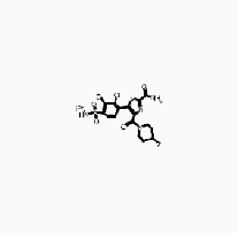 CC(C)NS(=O)(=O)c1ccc(-c2sc(C(N)=O)nc2C(=O)N2CCC(F)CC2)c(Cl)c1Cl